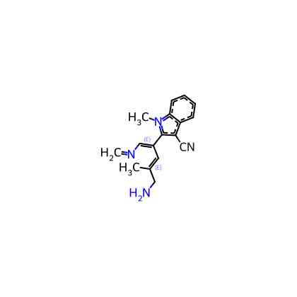 C=N/C=C(\C=C(/C)CN)c1c(C#N)c2ccccc2n1C